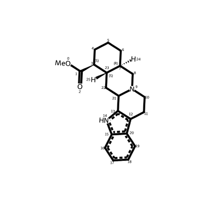 COC(=O)[C@H]1CCC[C@H]2CN3CCc4c([nH]c5ccccc45)C3C[C@@H]21